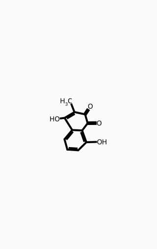 CC1=C(O)c2cccc(O)c2C(=O)C1=O